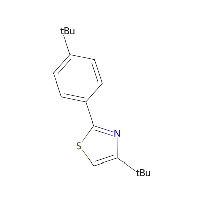 CC(C)(C)c1ccc(-c2nc(C(C)(C)C)cs2)cc1